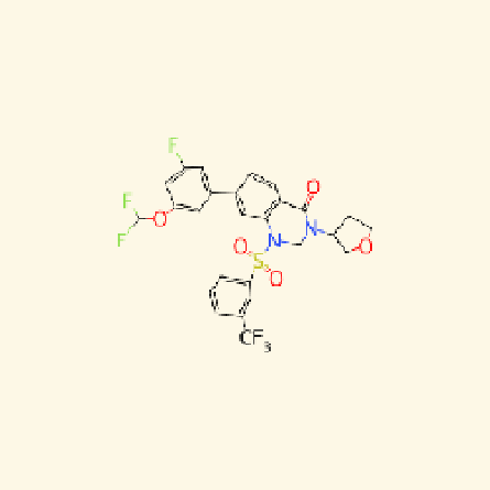 O=C1c2ccc(-c3cc(F)cc(OC(F)F)c3)cc2N(S(=O)(=O)c2cccc(C(F)(F)F)c2)CN1C1CCOC1